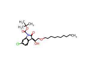 CCCCCCCCCCOCC(O)=C1C(=O)N(C(=O)OC(C)(C)C)c2cc(Cl)ccc21